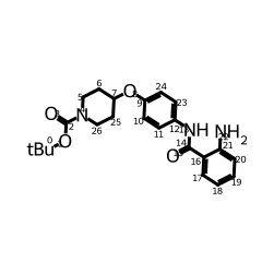 CC(C)(C)OC(=O)N1CCC(Oc2ccc(NC(=O)c3ccccc3N)cc2)CC1